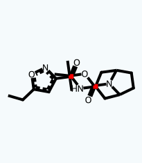 CCc1cc(C(=O)NC2CC3CCC(C2)N3C(=O)OC(C)(C)C)no1